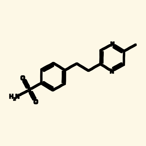 Cc1cnc(CCc2ccc(S(N)(=O)=O)cc2)cn1